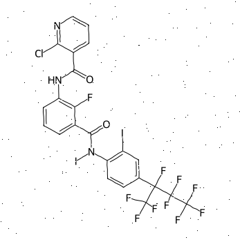 O=C(Nc1cccc(C(=O)N(I)c2ccc(C(F)(C(F)(F)F)C(F)(F)C(F)(F)F)cc2I)c1F)c1cccnc1Cl